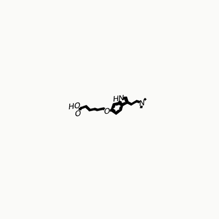 CN(C)CCc1c[nH]c2cc(OCCCCCC(=O)O)ccc12